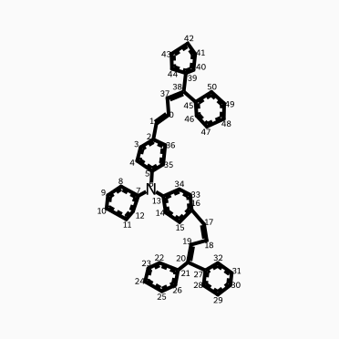 C(=Cc1ccc(N(c2ccccc2)c2ccc(/C=C\C=C(c3ccccc3)c3ccccc3)cc2)cc1)C=C(c1ccccc1)c1ccccc1